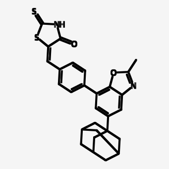 Cc1nc2cc(C34CC5CC(CC(C5)C3)C4)cc(-c3ccc(C=C4SC(=S)NC4=O)cc3)c2o1